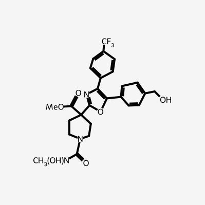 COC(=O)C1(c2nc(-c3ccc(C(F)(F)F)cc3)c(-c3ccc(CO)cc3)o2)CCN(C(=O)N(C)O)CC1